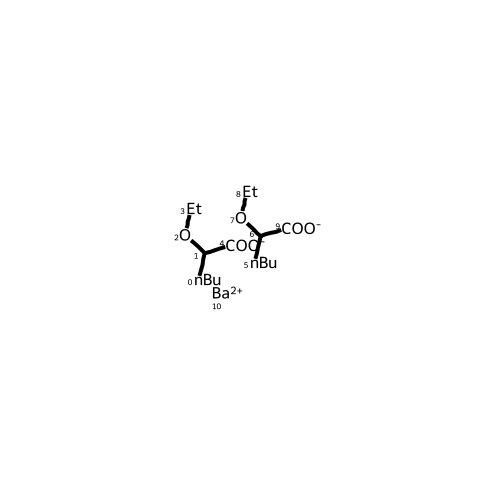 CCCCC(OCC)C(=O)[O-].CCCCC(OCC)C(=O)[O-].[Ba+2]